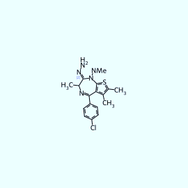 CNN1/C(=N\N)C(C)N=C(c2ccc(Cl)cc2)c2c1sc(C)c2C